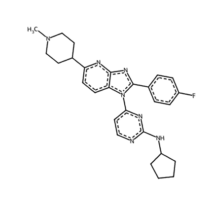 CN1CCC(c2ccc3c(n2)nc(-c2ccc(F)cc2)n3-c2ccnc(NC3CCCC3)n2)CC1